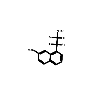 [2H]C([2H])(NC(C)=O)C([2H])([2H])c1cccc2ccc(OC)cc12